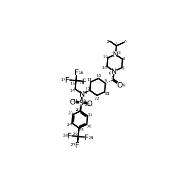 CC(C)N1CCN(C(=O)[C@H]2CC[C@H](N(CC(F)(F)F)S(=O)(=O)c3ccc(C(F)(F)F)cc3)CC2)CC1